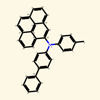 Cc1ccc(N(c2ccc(-c3ccccc3)cc2)c2cc3cccc4ccc5cccc2c5c43)cc1